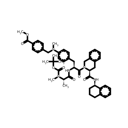 COC(=O)c1ccc(CN(C)c2ccc(C[C@H](NC(=O)[C@H](C)N(C)C(=O)OC(C)(C)C)C(=O)N3Cc4ccccc4C[C@H]3C(=O)N[C@@H]3CCCc4ccccc43)cc2)cc1